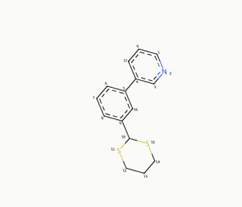 c1cncc(-c2cccc(C3SCCCS3)c2)c1